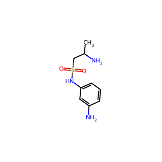 CC(N)CS(=O)(=O)Nc1cccc(N)c1